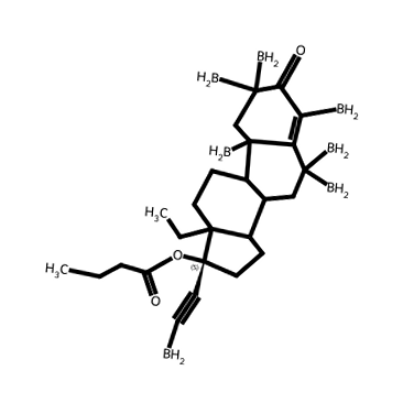 BC#C[C@]1(OC(=O)CCC)CCC2C3CC(B)(B)C4=C(B)C(=O)C(B)(B)CC4(B)C3CCC21CC